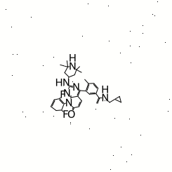 C=C(NCC1CC1)c1ccc(C)c(-c2nc(NC3CC(C)(C)NC(C)(C)C3)nc3c2ccc(=O)n3C2=C(F)C=CCC2F)c1